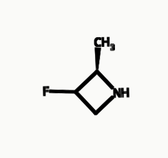 C[C@H]1NCC1F